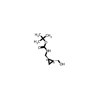 CC(C)(C)OC(=O)NC[C@@H]1C[C@H]1CO